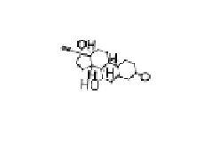 C#C[C@]1(O)CC[C@H]2[C@@H]3[C@@H](O)C=C4CC(=O)CC[C@]4(C)[C@H]3CC[C@@]21C